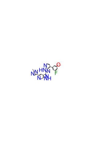 COc1cc(F)cc(-c2ccnc3[nH]c(-c4n[nH]c5cnc(-c6cnc(C)n6C)cc45)nc23)c1